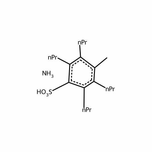 CCCc1c(C)c(CCC)c(CCC)c(S(=O)(=O)O)c1CCC.N